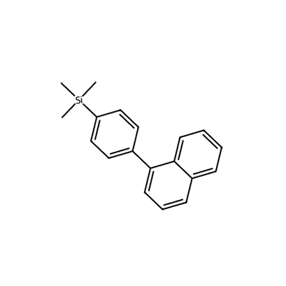 C[Si](C)(C)c1ccc(-c2cccc3ccccc23)cc1